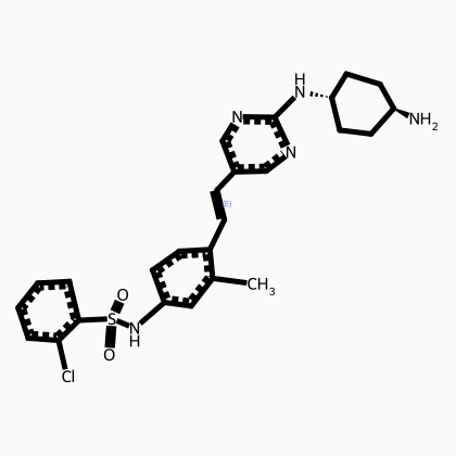 Cc1cc(NS(=O)(=O)c2ccccc2Cl)ccc1/C=C/c1cnc(N[C@H]2CC[C@H](N)CC2)nc1